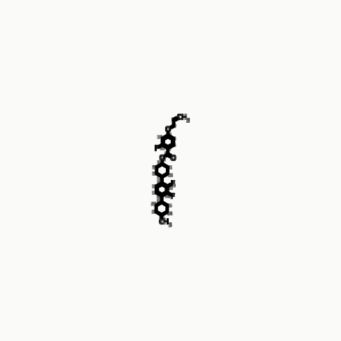 C=CCOc1ccc(C(=O)OC2CCC(c3ccc(C4CCC(C)CC4)c(F)c3F)CC2)c(F)c1